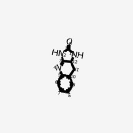 O=C1NC2=Nc3ccccc3CC2N1